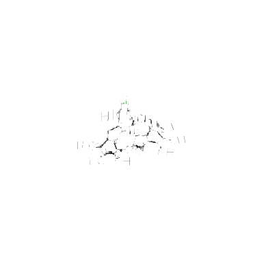 CC1=Cc2c(C)c(C)c(C)c(C)c2[CH]1[Ti+2]([CH]1C(C)=Cc2c(C)c(C)c(C)c(C)c21)=[Si](C)C.[Cl-].[Cl-]